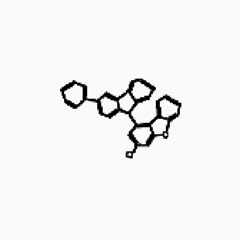 Clc1cc(C2c3ccccc3-c3cc(-c4ccccc4)ccc32)c2c(c1)oc1ccccc12